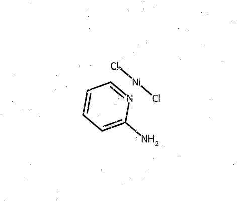 Nc1ccccn1.[Cl][Ni][Cl]